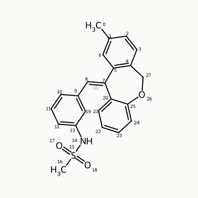 Cc1ccc2c(c1)/C(=C/c1cccc(NS(C)(=O)=O)c1)c1ccccc1OC2